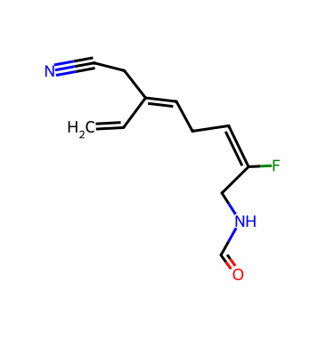 C=C/C(=C\C/C=C(/F)CNC=O)CC#N